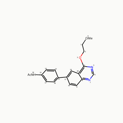 COCCOc1ncnc2ccc(-c3ccc(NC(C)=O)cc3)cc12